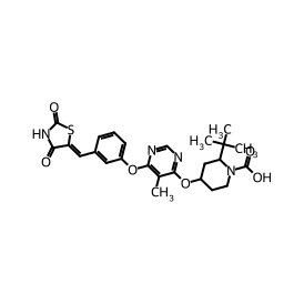 Cc1c(Oc2cccc(/C=C3\SC(=O)NC3=O)c2)ncnc1OC1CCN(C(=O)O)C(C(C)(C)C)C1